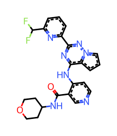 O=C(NC1CCOCC1)c1cnccc1Nc1nc(-c2cccc(C(F)F)n2)nn2cccc12